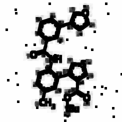 Cc1ccc(NC(=O)c2cccc(-c3ccoc3)c2)c(-c2cscc2C(=O)OC(C)(C)C)c1